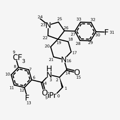 CC(C)C[C@@H](NC(=O)c1cc(C(F)(F)F)ccc1F)C(=O)N1CCC2(CC1)CN(C)CC2c1ccc(F)cc1